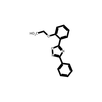 O=C(O)COc1ccccc1-c1nc(-c2ccccc2)no1